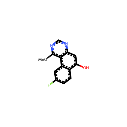 COc1ncnc2cc(O)c3ccc(F)cc3c12